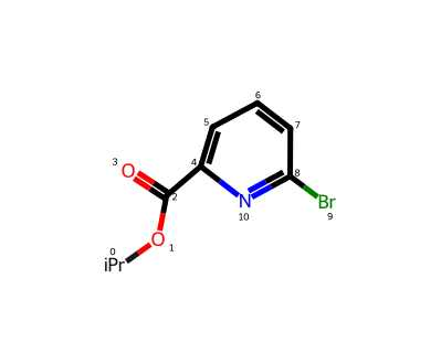 CC(C)OC(=O)c1cccc(Br)n1